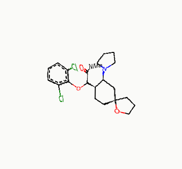 CNC(=O)C(Oc1c(Cl)cccc1Cl)[C@@H]1CC[C@]2(CCCO2)C[C@@H]1N1CCCC1